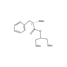 CCCCCCCCCCCC(CCCCCCCCCCC)OC(=O)[C@H](Cc1ccccc1)NC